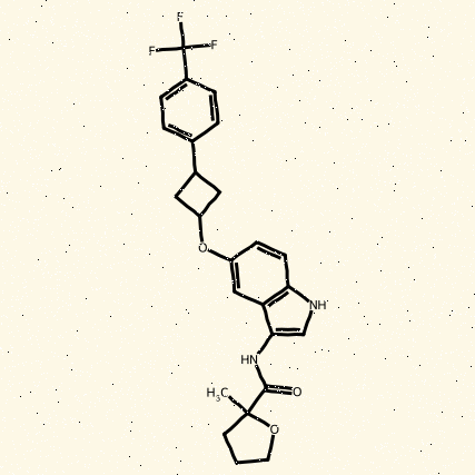 CC1(C(=O)Nc2c[nH]c3ccc(OC4CC(c5ccc(C(F)(F)F)cc5)C4)cc23)CCCO1